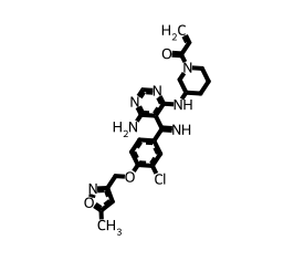 C=CC(=O)N1CCCC(Nc2ncnc(N)c2C(=N)c2ccc(OCc3cc(C)on3)c(Cl)c2)C1